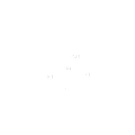 Cl.N=C(/C=C/c1ccccc1)NCc1cc(Cl)ccc1Cl